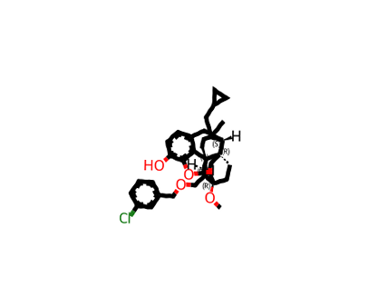 CO[C@]12CC[C@@]3(C[C@@H]1COCc1cccc(Cl)c1)[C@H]1Cc4ccc(O)c5c4[C@@]3(CCC1(C)CC1CC1)[C@H]2O5